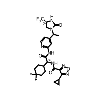 CC(c1ccnc(NC(=O)[C@@H](NC(=O)c2nonc2C2CC2)C2CCC(F)(F)CC2)c1)N1C[C@@H](C(F)(F)F)NC1=O